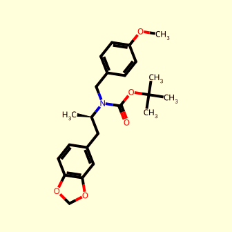 COc1ccc(CN(C(=O)OC(C)(C)C)[C@H](C)Cc2ccc3c(c2)OCO3)cc1